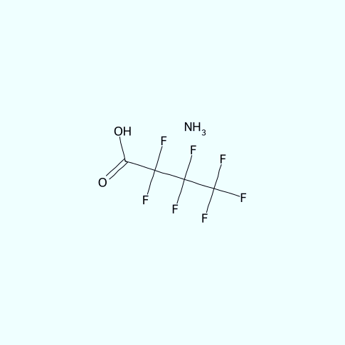 N.O=C(O)C(F)(F)C(F)(F)C(F)(F)F